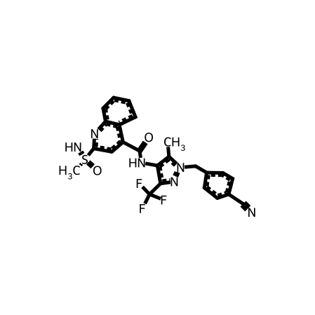 Cc1c(NC(=O)c2cc(S(C)(=N)=O)nc3ccccc23)c(C(F)(F)F)nn1Cc1ccc(C#N)cc1